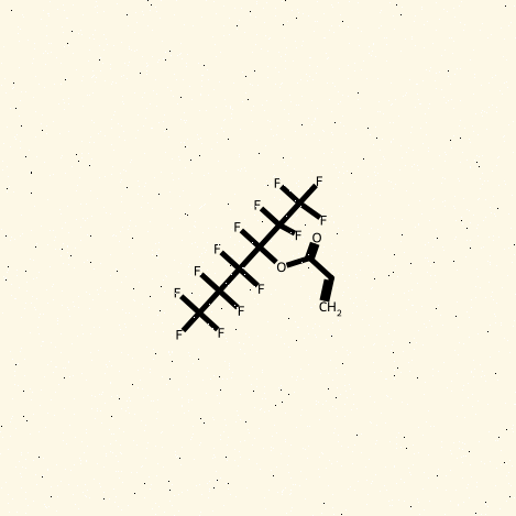 C=CC(=O)OC(F)(C(F)(F)C(F)(F)F)C(F)(F)C(F)(F)C(F)(F)F